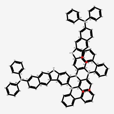 c1ccc(-c2ccccc2N2c3cc4c(cc3B3c5cc6sc7cc8cc(N(c9ccccc9)c9ccccc9)ccc8cc7c6cc5N(c5ccccc5-c5ccccc5)c5cccc2c53)sc2cc3cc(N(c5ccccc5)c5ccccc5)ccc3cc24)cc1